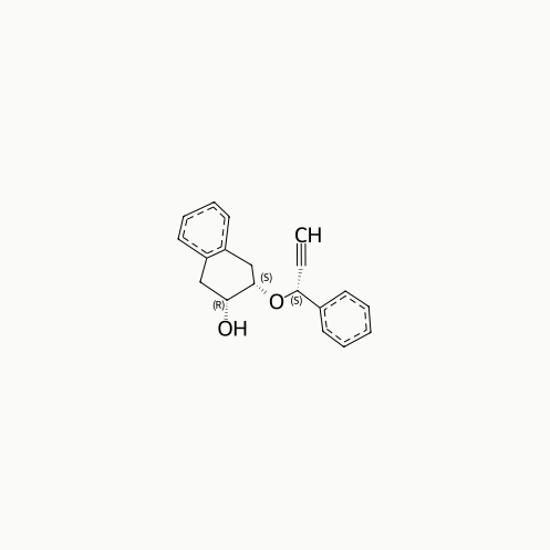 C#C[C@@H](O[C@H]1Cc2ccccc2C[C@H]1O)c1ccccc1